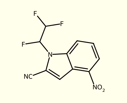 N#Cc1cc2c([N+](=O)[O-])cccc2n1C(F)C(F)F